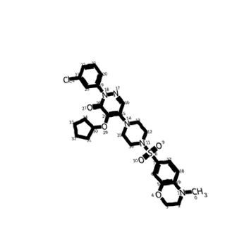 CN1CCOc2cc(S(=O)(=O)N3CCN(c4cnn(-c5cccc(Cl)c5)c(=O)c4OC4CCCC4)CC3)ccc21